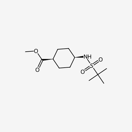 COC(=O)[C@H]1CC[C@@H](NS(=O)(=O)C(C)(C)C)CC1